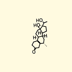 CC(O)[C@@]1(O)CC[C@H]2[C@@H]3C[C@H](C)C4=C(CCC(=O)C4)[C@H]3CC[C@@]21C